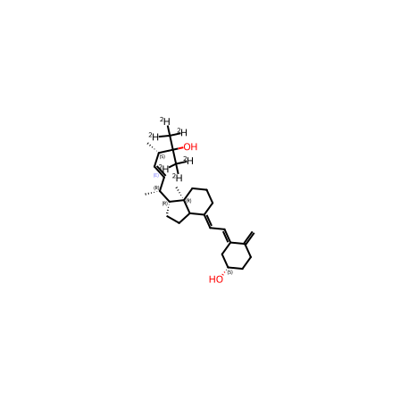 [2H]C([2H])([2H])C(O)([C@@H](C)/C=C/[C@@H](C)[C@H]1CCC2C(=CC=C3C[C@@H](O)CCC3=C)CCC[C@@]21C)C([2H])([2H])[2H]